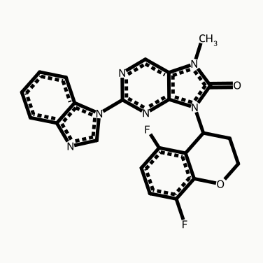 Cn1c(=O)n(C2CCOc3c(F)ccc(F)c32)c2nc(-n3cnc4ccccc43)ncc21